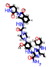 CCc1nc(C(N)=O)c(Nc2ccc(N3CCN(C(=O)CNc4cccc5c4CN(C4CCC(=O)NC4=O)C5=O)CC3)c(OC)c2)nc1NC1CCOCC1